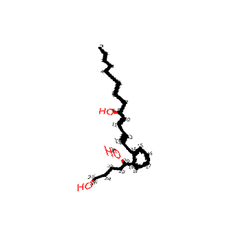 CCCCCCCCC(O)C=CC=Cc1ccccc1C(O)CCCCO